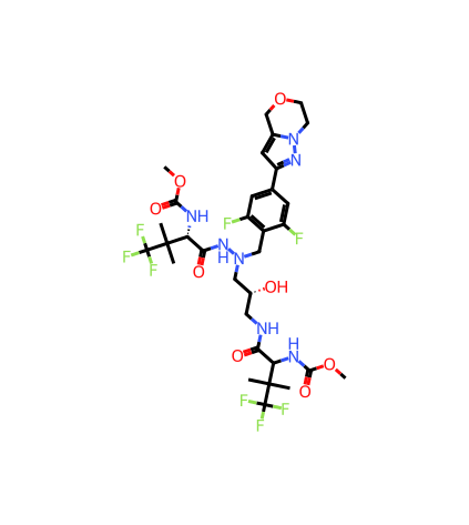 COC(=O)NC(C(=O)NC[C@@H](O)CN(Cc1c(F)cc(-c2cc3n(n2)CCOC3)cc1F)NC(=O)[C@@H](NC(=O)OC)C(C)(C)C(F)(F)F)C(C)(C)C(F)(F)F